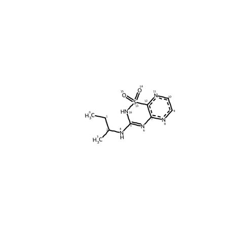 CCC(C)NC1=Nc2nccnc2S(=O)(=O)N1